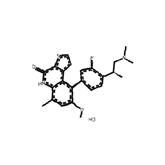 COc1cc(C)c2[nH]c(=O)c3sccc3c2c1-c1ccc([C@H](C)CN(C)C)c(F)c1.Cl